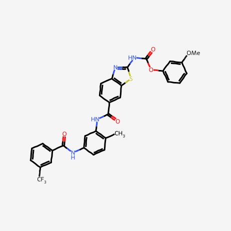 COc1cccc(OC(=O)Nc2nc3ccc(C(=O)Nc4cc(NC(=O)c5cccc(C(F)(F)F)c5)ccc4C)cc3s2)c1